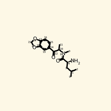 CC(C)C[C@H](N)C(=O)N(C)C(C)C(=O)c1ccc2c(c1)OCO2